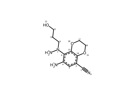 N#Cc1cc(N)c(N(N)CCCO)c2c1OCCO2